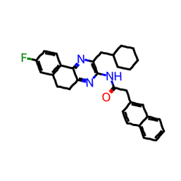 O=C(Cc1ccc2ccccc2c1)Nc1nc2c(nc1CC1CCCCC1)-c1ccc(F)cc1CC2